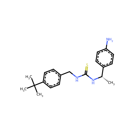 C[C@H](NC(=S)NCc1ccc(C(C)(C)C)cc1)c1ccc(N)cc1